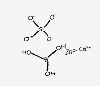 OB(O)O.[Cd+2].[O-][Si]([O-])([O-])[O-].[Zn+2]